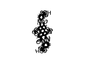 O=c1c2cc3c4c5c(cc6c7c(cc8c(c9c(cc(c2c49)c2nc4ccc(S(=O)(=O)O)cc4n12)S(=O)(=O)O8)c57)c(=O)n1c2cc(S(=O)(=O)O)ccc2nc61)S(=O)(=O)O3